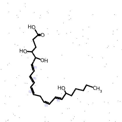 CCCCCC(O)/C=C/C=C\C\C=C/C=C/C=C/C(O)C(O)CCC(=O)O